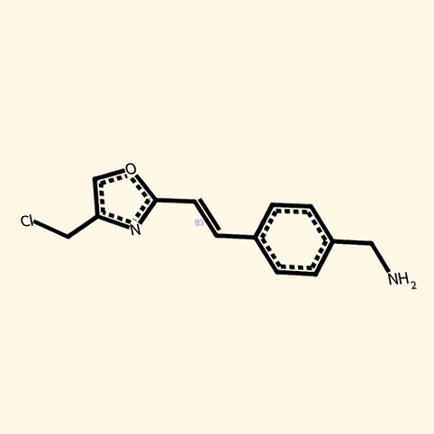 NCc1ccc(/C=C/c2nc(CCl)co2)cc1